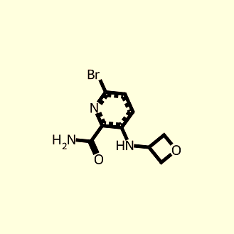 NC(=O)c1nc(Br)ccc1NC1COC1